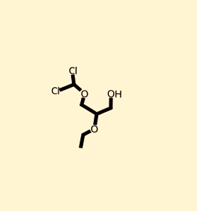 CCOC(CO)COC(Cl)Cl